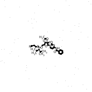 CC(=O)OC1C(COP(OCCC#N)N(C(C)C)C(C)C)OC(n2ccc(NC(=O)c3ccccc3)nc2=O)C1(F)F